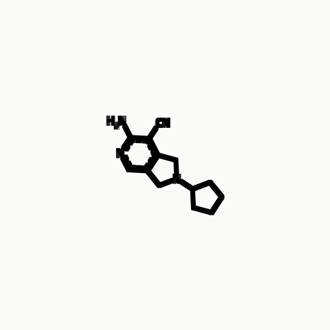 N#Cc1c(N)ncc2c1CN(C1CCCC1)C2